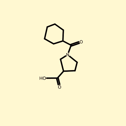 O=C(O)C1CCN(C(=O)C2CCCCC2)C1